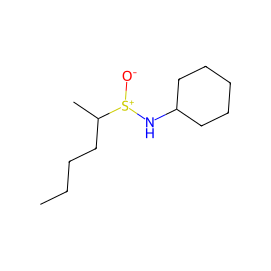 CCCCC(C)[S+]([O-])NC1CCCCC1